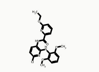 CCOc1cccc(C(=O)Nc2ccc(Cl)nc2Nc2c(OC)cccc2OC)n1